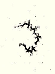 CC(C)CCC(C)(C)C(=O)C(C)(C)OCCC(C)(C)OCC(O)COC(C)(C)CCOC(C)C